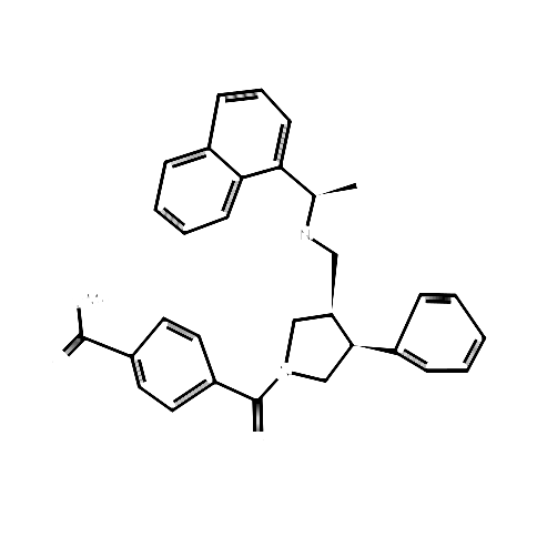 COC(=O)c1ccc(C(=O)N2C[C@@H](CN[C@H](C)c3cccc4ccccc34)[C@@H](c3ccccc3)C2)cc1